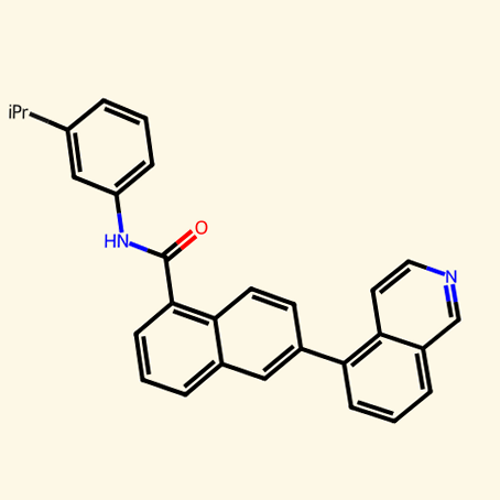 CC(C)c1cccc(NC(=O)c2cccc3cc(-c4cccc5cnccc45)ccc23)c1